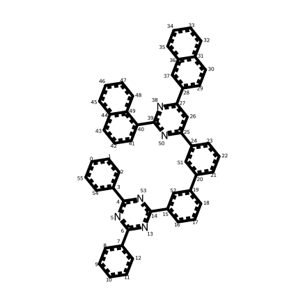 c1ccc(-c2nc(-c3ccccc3)nc(-c3cccc(-c4cccc(-c5cc(-c6ccc7ccccc7c6)nc(-c6cccc7ccccc67)n5)c4)c3)n2)cc1